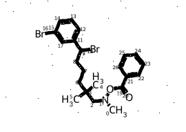 CN(CC(C)(C)CCCC(Br)c1cccc(Br)c1)OC(=O)c1ccccc1